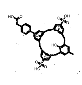 Cc1cc2c(O)c(c1)Cc1cc(S(=O)(=O)O)cc(c1O)Cc1cc(-c3ccc(CC(=O)O)cc3)cc(c1O)Cc1cc(S(=O)(=O)O)cc(c1O)C2